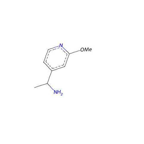 COc1cc(C(C)N)ccn1